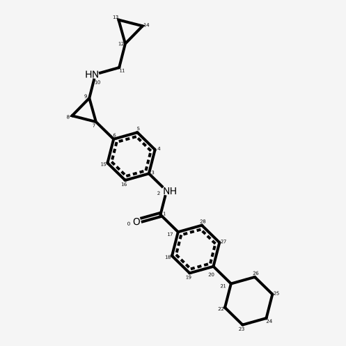 O=C(Nc1ccc(C2CC2NCC2CC2)cc1)c1ccc(C2CCCCC2)cc1